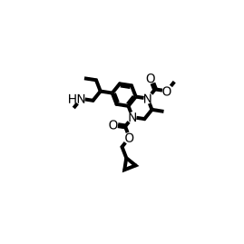 CCC(CNC)c1ccc2c(c1)N(C(=O)OCC1CC1)CC(C)N2C(=O)OC